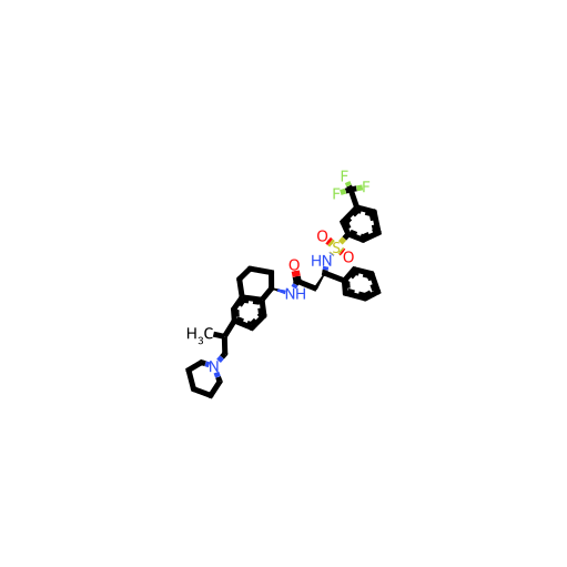 CC(CN1CCCCC1)c1ccc2c(c1)CCC[C@H]2NC(=O)C[C@@H](NS(=O)(=O)c1cccc(C(F)(F)F)c1)c1ccccc1